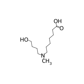 CN(CCCCO)CCCCCCC(=O)O